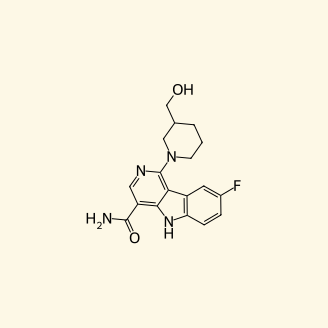 NC(=O)c1cnc(N2CCCC(CO)C2)c2c1[nH]c1ccc(F)cc12